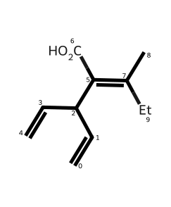 C=CC(C=C)C(C(=O)O)=C(C)CC